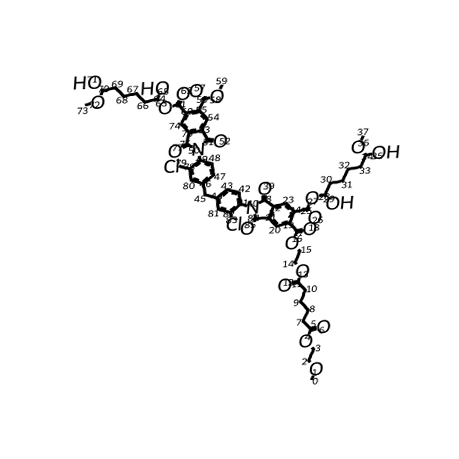 COCCOC(=O)CCCCC(=O)OCCOC(=O)c1cc2c(cc1C(=O)OC(O)CCCCC(O)OC)C(=O)N(c1ccc(Cc3ccc(N4C(=O)c5cc(C(=O)OC)c(C(=O)OC(O)CCCCC(O)OC)cc5C4=O)c(Cl)c3)cc1Cl)C2=O